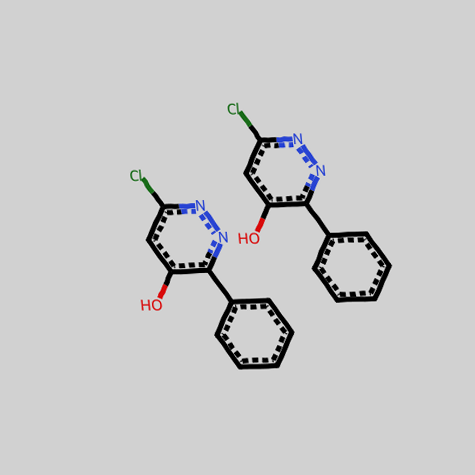 Oc1cc(Cl)nnc1-c1ccccc1.Oc1cc(Cl)nnc1-c1ccccc1